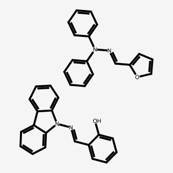 C(=NN(c1ccccc1)c1ccccc1)c1ccco1.Oc1ccccc1C=Nn1c2ccccc2c2ccccc21